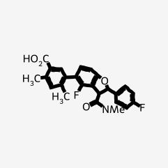 CNC(=O)C1c2c(ccc(-c3cc(C(=O)O)c(C)cc3C)c2F)OC1c1ccc(F)cc1